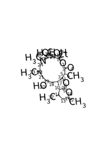 CC[C@H]1OC(=O)C(C)[C@@H](O[C@H]2CC(C)CC(C)O2)CCC(O)C[C@@H](C)CN(C)C(O)[C@]1(C)O